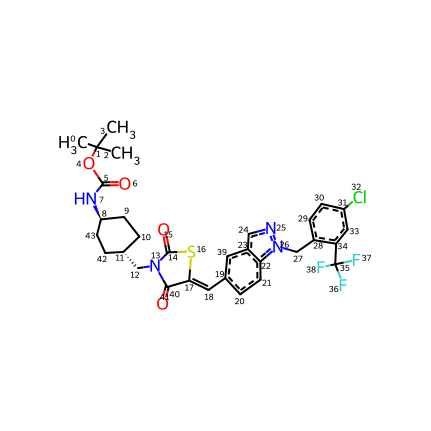 CC(C)(C)OC(=O)N[C@H]1CC[C@H](CN2C(=O)SC(=Cc3ccc4c(cnn4Cc4ccc(Cl)cc4C(F)(F)F)c3)C2=O)CC1